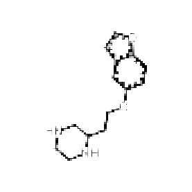 [c]1cc2cc(OCCC3CNCCN3)ccc2o1